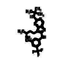 CC(N)CCn1c(Nc2cc(Cl)cc(C(F)(F)F)c2)nc2cnc(NC(C)(C)C)nc21